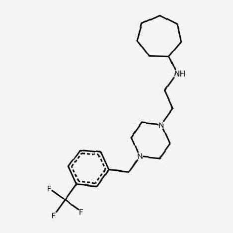 FC(F)(F)c1cccc(CN2CCN(CCNC3CCCCCC3)CC2)c1